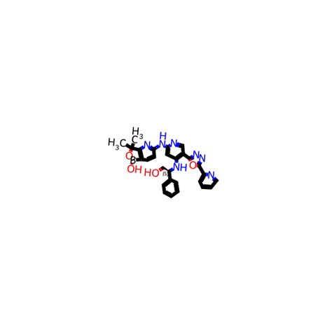 CC1(C)OB(O)c2ccc(Nc3cc(N[C@H](CO)c4ccccc4)c(-c4nnc(-c5ccccn5)o4)cn3)nc21